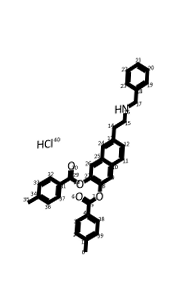 Cc1ccc(C(=O)Oc2cc3ccc(CCNCc4ccccc4)cc3cc2OC(=O)c2ccc(C)cc2)cc1.Cl